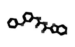 O=C(NC(=S)Nc1cccc(Oc2ccccc2)c1)c1cc2cnccc2o1